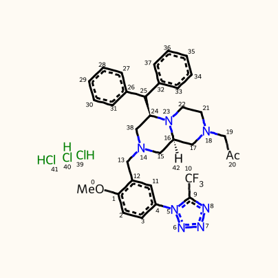 COc1ccc(-n2nnnc2C(F)(F)F)cc1CN1C[C@@H]2CN(CC(C)=O)CCN2[C@H](C(c2ccccc2)c2ccccc2)C1.Cl.Cl.Cl